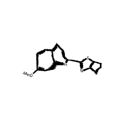 COc1ccc2ccc(-c3nc4c(s3)CCC4)nc2c1